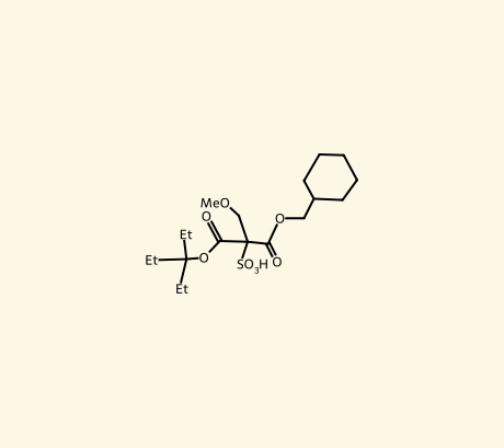 CCC(CC)(CC)OC(=O)C(COC)(C(=O)OCC1CCCCC1)S(=O)(=O)O